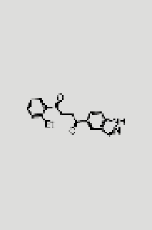 CCc1ccccc1C(=O)CCC(=O)c1ccc2[nH]ncc2c1